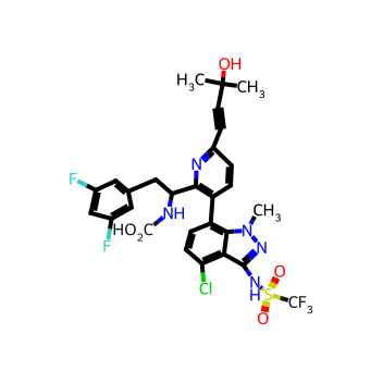 Cn1nc(NS(=O)(=O)C(F)(F)F)c2c(Cl)ccc(-c3ccc(C#CC(C)(C)O)nc3C(Cc3cc(F)cc(F)c3)NC(=O)O)c21